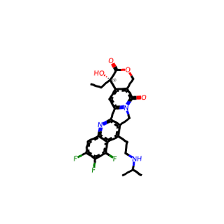 CC[C@@]1(O)C(=O)OCc2c1cc1n(c2=O)Cc2c-1nc1cc(F)c(F)c(F)c1c2CCNC(C)C